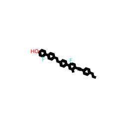 CCCc1ccc(C#Cc2cc(F)c(-c3ccc(CCc4ccc(-c5ccc(O)cc5F)cc4)cc3)cc2C)cc1